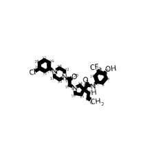 C=CCC1(C(=O)Nc2ccc(O)c(C(F)(F)F)c2)CCN(CC(=O)N2CCN(c3cccc(Cl)c3)CC2)C1